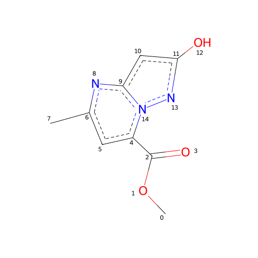 COC(=O)c1cc(C)nc2cc(O)nn12